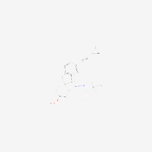 CO[C@H]1CC[C@]2(CC1)Cc1ccc(C#CC3CC3)cc1C2CN[S+]([O-])C(C)(C)C